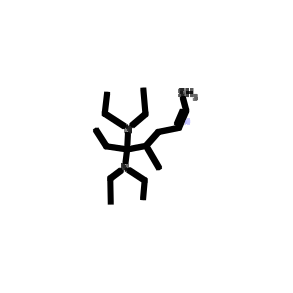 CCN(CC)C(CC)(C(C)C/C=C\[SiH3])N(CC)CC